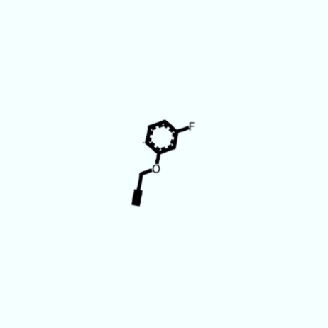 C#CCOc1[c]ccc(F)c1